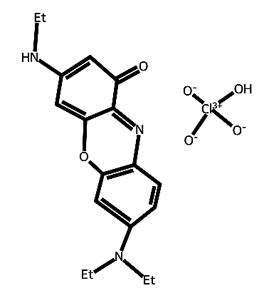 CCNc1cc2oc3cc(N(CC)CC)ccc3nc-2c(=O)c1.[O-][Cl+3]([O-])([O-])O